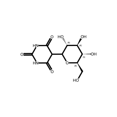 O=C1NC(=O)C(C2O[C@H](CO)[C@@H](O)[C@H](O)[C@H]2O)C(=O)N1